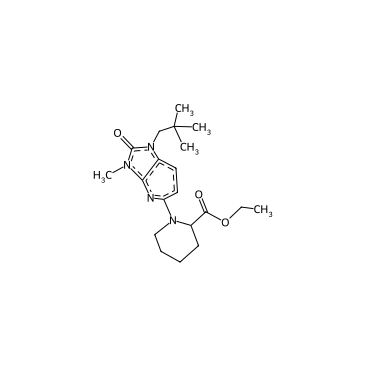 CCOC(=O)C1CCCCN1c1ccc2c(n1)n(C)c(=O)n2CC(C)(C)C